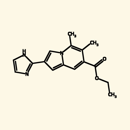 CCOC(=O)c1cc2cc(-c3ncc[nH]3)cn2c(C)c1C